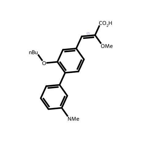 CCCCOc1cc(/C=C(\OC)C(=O)O)ccc1-c1cccc(NC)c1